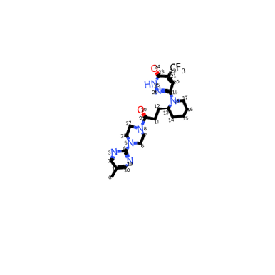 Cc1cnc(N2CCN(C(=O)CC[C@@H]3CCCCN3c3cc(C(F)(F)F)c(=O)[nH]n3)CC2)nc1